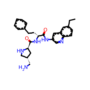 CCc1ccc2ncc(NC(=O)[C@@H](CCc3ccccc3)NC(=O)[C@H]3C[C@H](CN)CN3)cc2c1